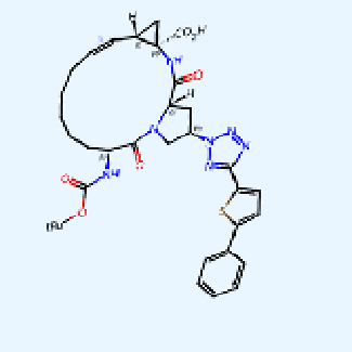 CC(C)(C)OC(=O)N[C@H]1CCCCC/C=C\[C@@H]2C[C@@]2(C(=O)O)NC(=O)[C@@H]2C[C@@H](n3nnc(-c4ccc(-c5ccccc5)s4)n3)CN2C1=O